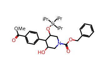 COC(=O)c1ccc(C2C(O)CN(C(=O)OCc3ccccc3)CC2O[Si](C(C)C)(C(C)C)C(C)C)cc1